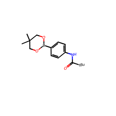 CC1(C)COB(c2ccc(NC(=O)C(C)(C)C)cc2)OC1